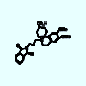 COc1cc2c(cc1OC)[C@]1(CC[C@H](C(=O)O)CC1)N(CCCN1C(=O)c3ccccc3C1=O)CC2